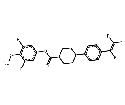 C/C(F)=C(\F)c1ccc(C2CCC(C(=O)Oc3cc(F)c(OC(F)(F)F)c(F)c3)CC2)cc1